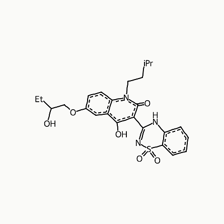 CCC(O)COc1ccc2c(c1)c(O)c(C1=NS(=O)(=O)c3ccccc3N1)c(=O)n2CCC(C)C